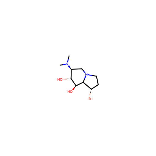 CN(C)[C@H]1CN2CC[C@H](O)C2[C@@H](O)[C@@H]1O